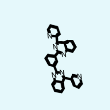 c1ccc(-c2nc(-c3cccc(-c4nc(-c5cccnc5)c5ccccc5n4)c3)nc3ccccc23)nc1